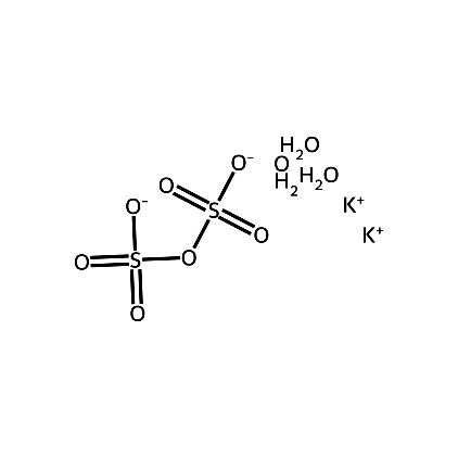 O.O.O.O=S(=O)([O-])OS(=O)(=O)[O-].[K+].[K+]